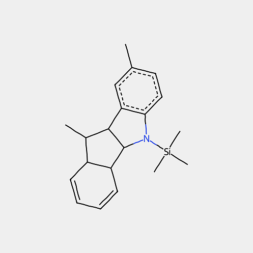 Cc1ccc2c(c1)C1C(C)C3C=CC=CC3C1N2[Si](C)(C)C